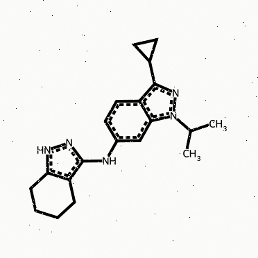 CC(C)n1nc(C2CC2)c2ccc(Nc3n[nH]c4c3CCCC4)cc21